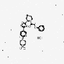 Cl.O=C(COc1ccccc1)N1CCNC[C@@H]1c1nc(-c2ccc(N3CCS(=O)(=O)CC3)nc2)no1